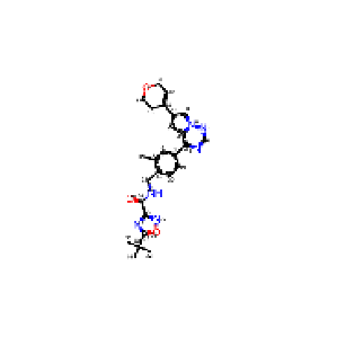 Cc1cc(-c2ncnn3cc(C4=CCOCC4)cc23)ccc1CNC(=O)c1noc(C(C)(C)C)n1